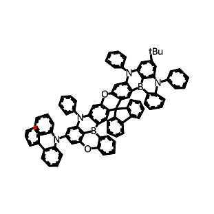 CC(C)(C)c1cc2c3c(c1)N(c1ccccc1)c1cc4c(cc1B3c1ccccc1N2c1ccccc1)C1(c2cc3c(cc2O4)N(c2ccccc2)c2cc(N(c4ccccc4)c4ccccc4-c4ccccc4)cc4c2B3c2ccccc2O4)c2ccccc2-c2ccccc21